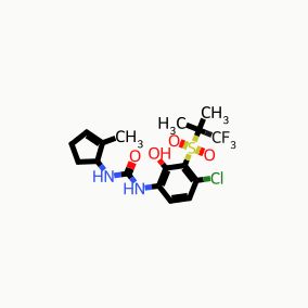 CC1=CCCC1NC(=O)Nc1ccc(Cl)c(S(=O)(=O)C(C)(C)C(F)(F)F)c1O